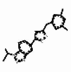 Cc1cc(C)cc(Cc2noc(-c3ccc4c(c3)nnn4C(C)C)n2)c1